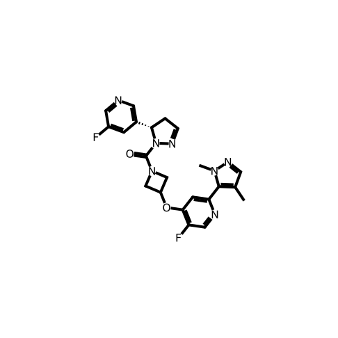 Cc1cnn(C)c1-c1cc(OC2CN(C(=O)N3N=CC[C@H]3c3cncc(F)c3)C2)c(F)cn1